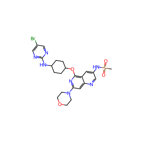 CS(=O)(=O)Nc1cnc2cc(N3CCOCC3)nc(OC3CCC(Nc4ncc(Br)cn4)CC3)c2c1